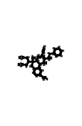 COC(OC)C1(C)Oc2ccc(N)cc2C(NC(=NC#N)NCc2ccccc2)C1O